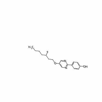 CCCCC(F)CCOc1cnc(-c2ccc(O)cc2)nc1